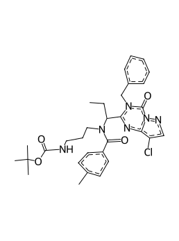 CCC(c1nc2c(Cl)cnn2c(=O)n1Cc1ccccc1)N(CCCNC(=O)OC(C)(C)C)C(=O)c1ccc(C)cc1